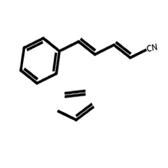 C=C.C=CC.N#CC=CC=Cc1ccccc1